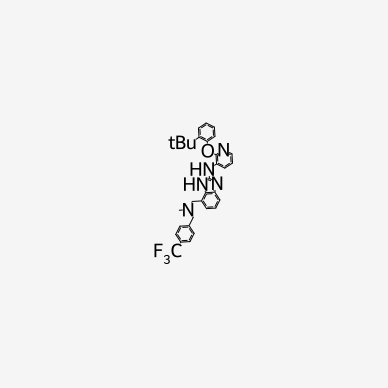 CN(Cc1ccc(C(F)(F)F)cc1)Cc1cccc2nc(Nc3cccnc3Oc3ccccc3C(C)(C)C)[nH]c12